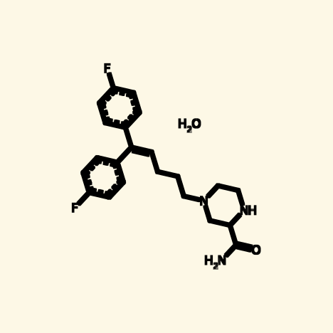 NC(=O)C1CN(CCCC=C(c2ccc(F)cc2)c2ccc(F)cc2)CCN1.O